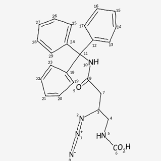 [N-]=[N+]=NC(CNC(=O)O)CC(=O)NC(c1ccccc1)(c1ccccc1)c1ccccc1